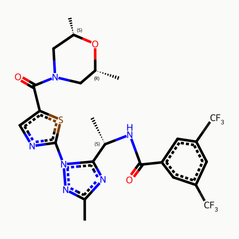 Cc1nc([C@H](C)NC(=O)c2cc(C(F)(F)F)cc(C(F)(F)F)c2)n(-c2ncc(C(=O)N3C[C@@H](C)O[C@@H](C)C3)s2)n1